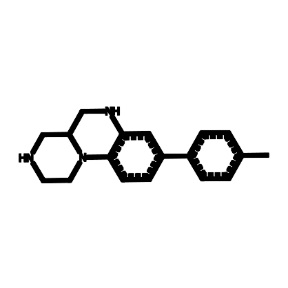 Cc1ccc(-c2ccc3c(c2)NCC2CNCCN32)cc1